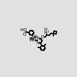 Cc1cccc(C)c1-c1cc(OCC(N)CCC2(C)CCC2)nc(NS(=O)(=O)c2cccc(C(=O)O)c2)n1